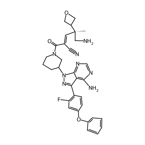 C[C@@](C=C(C#N)C(=O)N1CCCC(n2nc(-c3ccc(Oc4ccccc4)cc3F)c3c(N)ncnc32)C1)(CN)C1COC1